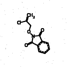 C=C(Cl)CON1C(=O)c2ccccc2C1=O